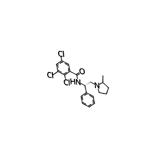 CC1CCCN1C[C@@H](NC(=O)c1cc(Cl)cc(Cl)c1Cl)c1ccccc1